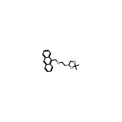 CC1(C)OC[C@H](CCOCc2c3ccccc3cc3ccccc23)O1